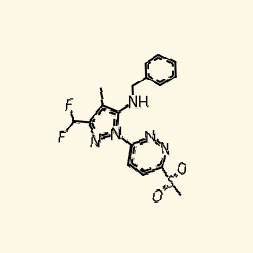 Cc1c(C(F)F)nn(-c2ccc(S(C)(=O)=O)nn2)c1NCc1ccccc1